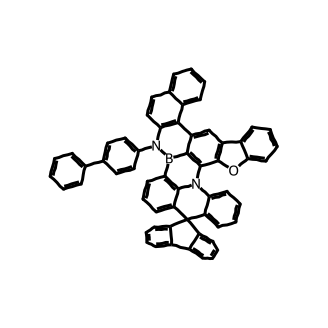 c1ccc(-c2ccc(N3B4c5cccc6c5N(c5ccccc5C65c6ccccc6-c6ccccc65)c5c4c(cc4c5oc5ccccc54)-c4c3ccc3ccccc43)cc2)cc1